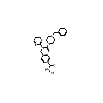 O=C(NO)c1ccc(CN(C(=O)N2CCN(Cc3ccccc3)CC2)c2ncccn2)cc1